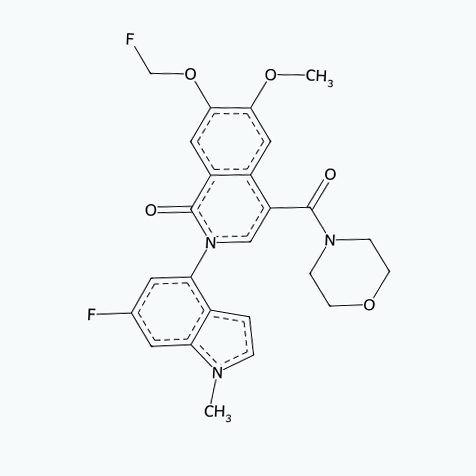 COc1cc2c(C(=O)N3CCOCC3)cn(-c3cc(F)cc4c3ccn4C)c(=O)c2cc1OCF